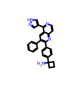 NC1(c2ccc(-c3nc4ccnc(-c5cn[nH]c5)c4cc3-c3ccccc3)cc2)CCC1